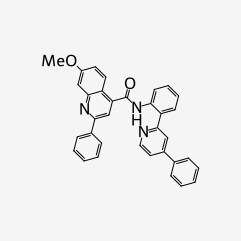 COc1ccc2c(C(=O)Nc3ccccc3-c3cc(-c4ccccc4)ccn3)cc(-c3ccccc3)nc2c1